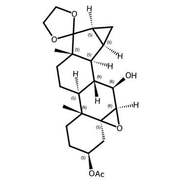 CC(=O)O[C@H]1CC[C@]2(C)[C@H]3CC[C@@]4(C)[C@@H]([C@@H]5C[C@@H]5C45OCCO5)[C@@H]3[C@@H](O)[C@H]3O[C@]32C1